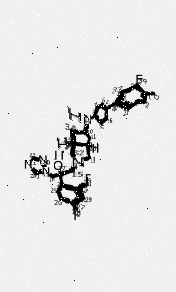 Cc1ccc(-c2ccc(NC3C[C@@H]4CN(CC(O)(Cn5cncn5)c5ccc(F)cc5F)C[C@@H]4C3)cc2)cc1F